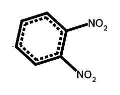 O=[N+]([O-])c1c[c]ccc1[N+](=O)[O-]